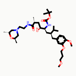 COCCCOc1cc(C[C@@H](C[C@H](NC(=O)OC(C)(C)C)[C@@H](O)C[C@@H](C)C(=O)NCCN2C[C@@H](C)O[C@H](C)C2)C(C)C)ccc1OC